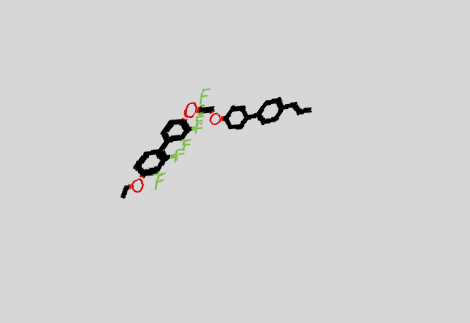 CCCC1CCC(C2CCC(OCC(F)(F)Oc3ccc(-c4ccc(OCC)c(F)c4F)c(F)c3F)CC2)CC1